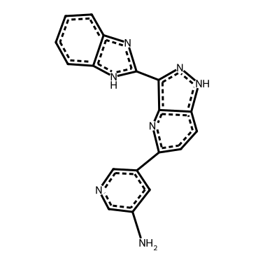 Nc1cncc(-c2ccc3[nH]nc(-c4nc5ccccc5[nH]4)c3n2)c1